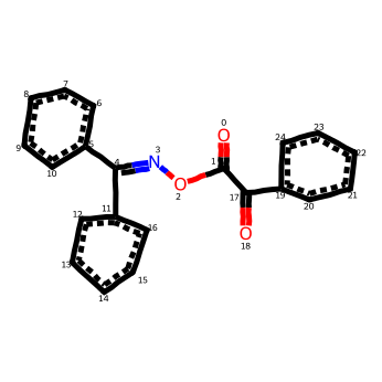 O=C(ON=C(c1ccccc1)c1ccccc1)C(=O)c1ccccc1